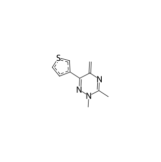 C=C1N=C(C)N(C)N=C1c1ccsc1